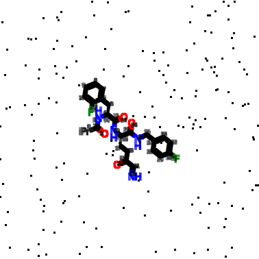 CC(C)C(=O)N[C@@H](Cc1ccccc1F)C(=O)N[C@@H](CCC(=O)C=N)C(=O)NCc1ccc(F)cc1